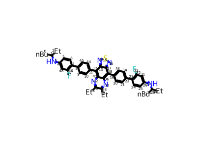 CCCCC(CC)Nc1ccc(-c2ccc(-c3c4nsnc4c(-c4ccc(-c5ccc(NC(CC)CCCC)cc5F)cc4)c4nc(CC)c(CC)nc34)cc2)c(F)c1